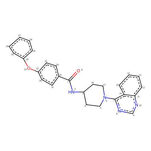 O=C(NC1CCN(c2ncnc3ccccc23)CC1)c1ccc(Oc2ccccc2)cc1